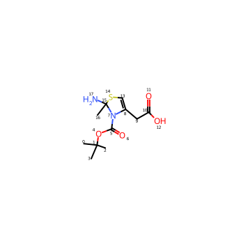 CC(C)(C)OC(=O)N1C(CC(=O)O)=CSC1(C)N